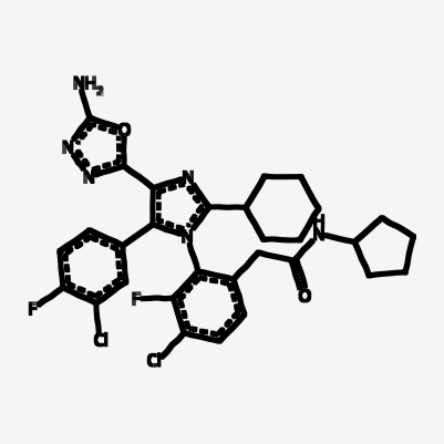 Nc1nnc(-c2nc(C3CCCCC3)n(-c3c(CC(=O)NC4CCCC4)ccc(Cl)c3F)c2-c2ccc(F)c(Cl)c2)o1